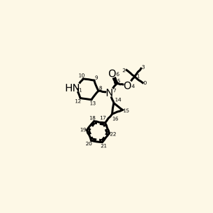 CC(C)(C)OC(=O)N(C1CCNCC1)C1CC1c1ccccc1